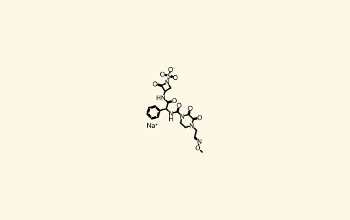 CON=CCN1CCN(C(=O)NC(C(=O)NC2CN(S(=O)(=O)[O-])C2=O)c2ccccc2)C(=O)C1=O.[Na+]